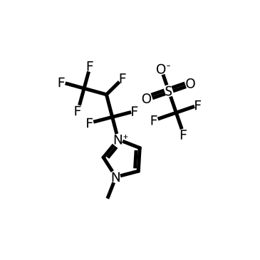 Cn1cc[n+](C(F)(F)C(F)C(F)(F)F)c1.O=S(=O)([O-])C(F)(F)F